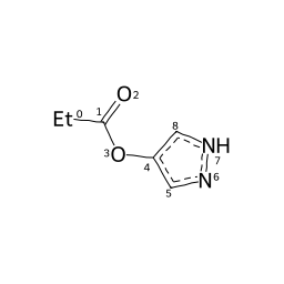 CCC(=O)Oc1cn[nH]c1